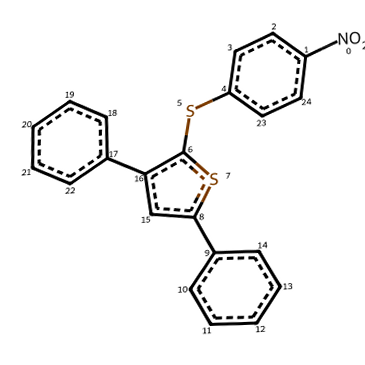 O=[N+]([O-])c1ccc(Sc2sc(-c3ccccc3)cc2-c2ccccc2)cc1